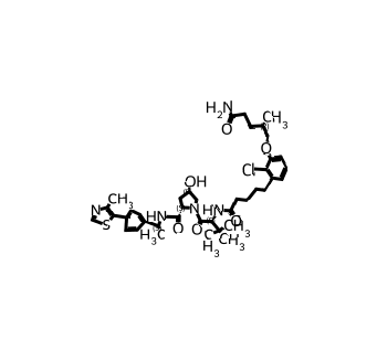 Cc1ncsc1-c1ccc([C@H](C)NC(=O)[C@@H]2C[C@@H](O)CN2C(=O)[C@@H](NC(=O)CCCCc2cccc(OC[C@H](C)CCC(N)=O)c2Cl)C(C)(C)C)cc1